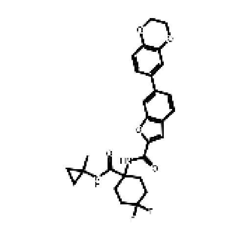 CC1(NC(=O)C2(NC(=O)c3cc4ccc(-c5ccc6c(c5)OCCO6)cc4o3)CCC(F)(F)CC2)CC1